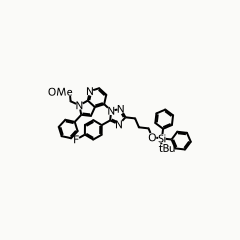 COCn1c(-c2ccccc2)cc2c(-n3nc(CCCO[Si](c4ccccc4)(c4ccccc4)C(C)(C)C)nc3-c3ccc(F)cc3)ccnc21